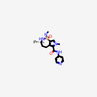 CN=S1(=O)N[C@@H](C(C)C)CCc2c1cn(C)c2C(=O)Nc1ccncc1